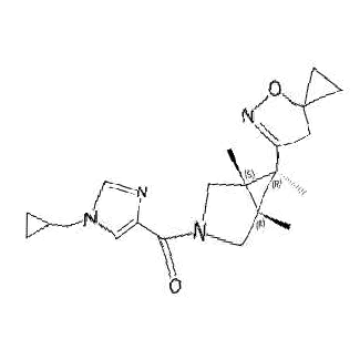 C[C@]12CN(C(=O)c3cn(C4CC4)cn3)C[C@@]1(C)[C@]2(C)C1=NOC2(CC2)C1